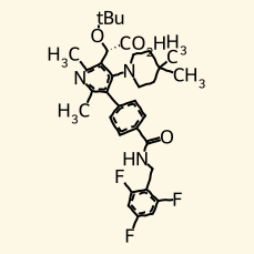 Cc1nc(C)c([C@H](OC(C)(C)C)C(=O)O)c(N2CCC(C)(C)CC2)c1-c1ccc(C(=O)NCc2c(F)cc(F)cc2F)cc1